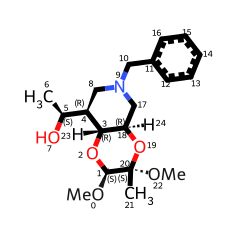 CO[C@H]1O[C@@H]2[C@@H]([C@H](C)O)CN(Cc3ccccc3)C[C@H]2O[C@]1(C)OC